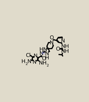 CC(C)NC(=O)Nc1cc(C(=O)N2CCC3(CC2)CN/C(=N\C(=O)c2nc(Cl)c(N)nc2N)N3)ccn1